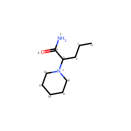 CCCC(C(N)=O)N1CCCCC1